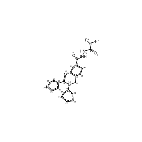 O=C(NNC(=O)C(F)F)c1ccc(CN(C(=O)c2ccncc2)c2ccccc2)cc1